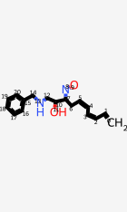 C=C/C=C\C=C/CC(N=O)C(O)CNCc1ccccc1